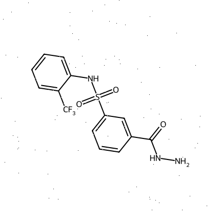 NNC(=O)c1cccc(S(=O)(=O)Nc2ccccc2C(F)(F)F)c1